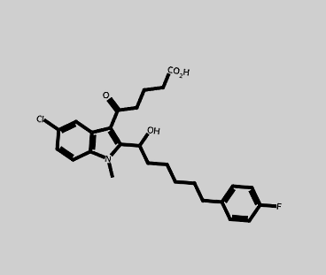 Cn1c(C(O)CCCCCc2ccc(F)cc2)c(C(=O)CCCC(=O)O)c2cc(Cl)ccc21